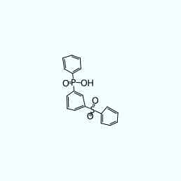 O=P(O)(c1ccccc1)c1cccc(S(=O)(=O)c2ccccc2)c1